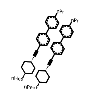 CCCCCC[C@H]1CC[C@H](C#Cc2ccc(-c3ccc(CCC)cc3)cc2)CC1.CCCCC[C@H]1CC[C@H](C#Cc2ccc(-c3ccc(CCC)cc3)cc2)CC1